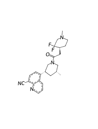 C[C@@H]1C[C@H](c2ccc(C#N)c3ncccc23)CN(C(=O)C[C@@H]2CCN(C)CC2(F)F)C1